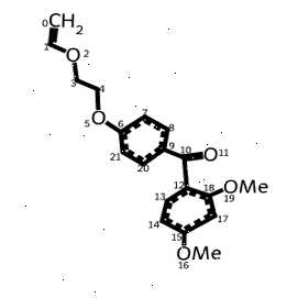 C=COCCOc1ccc(C(=O)c2ccc(OC)cc2OC)cc1